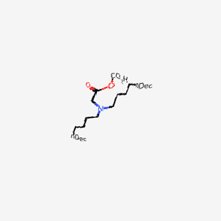 CCCCCCCCCCCCCCN(CCCCCCCCCCCCCC)CC(=O)OC(=O)O